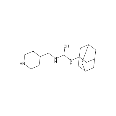 OC(NCC1CCNCC1)NC12CC3CC(CC(C3)C1)C2